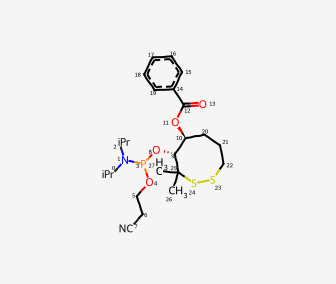 CC(C)N(C(C)C)P(OCCC#N)O[C@@H]1[C@@H](OC(=O)c2ccccc2)CCCSSC1(C)C